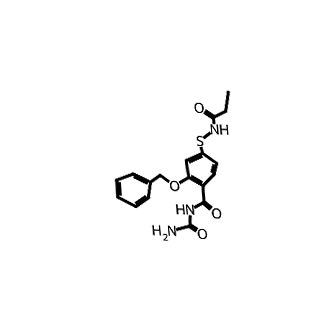 CCC(=O)NSc1ccc(C(=O)NC(N)=O)c(OCc2ccccc2)c1